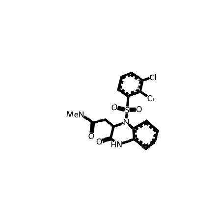 CNC(=O)CC1C(=O)Nc2ccccc2N1S(=O)(=O)c1cccc(Cl)c1Cl